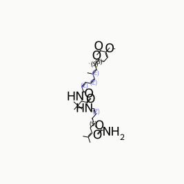 COC1=CC[C@@H]([C@@H](C)/C=C(C)/C=C\C=C/C(=O)NC(C(=O)N/C=C\C[C@H](CC=C(C)C)OC(N)=O)C(C)(C)C)OC1=O